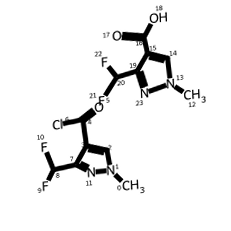 Cn1cc(C(=O)Cl)c(C(F)F)n1.Cn1cc(C(=O)O)c(C(F)F)n1